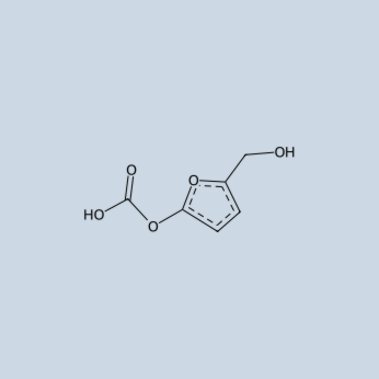 O=C(O)Oc1ccc(CO)o1